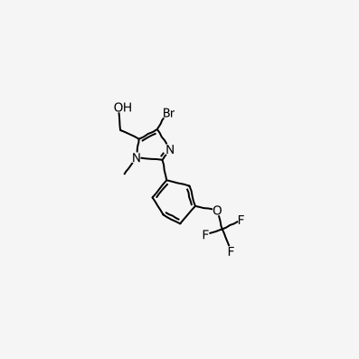 Cn1c(-c2cccc(OC(F)(F)F)c2)nc(Br)c1CO